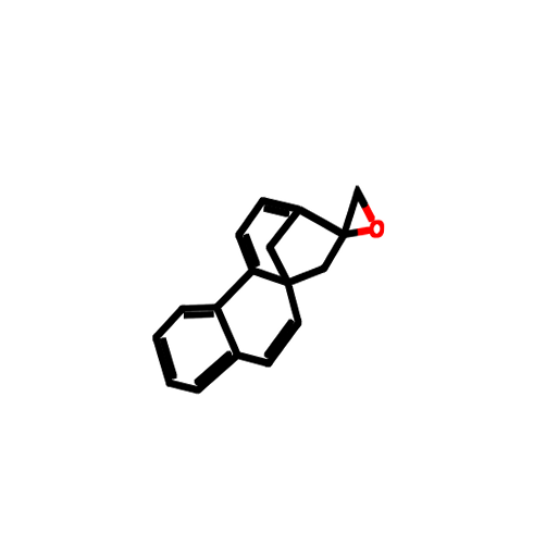 C1=CC23CC(=CC=C2c2ccccc21)C1(CO1)C3